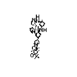 Cc1ccc(NC(=O)c2ccc(C3CCN(C(=O)OC(C)OC(=O)C(C)(C)C)CC3)cc2)cc1Nc1nccc(-c2cccnc2)n1